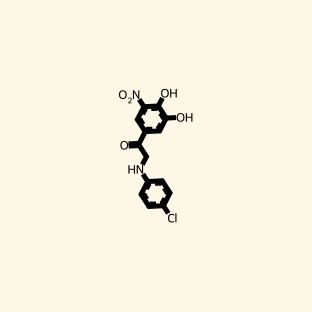 O=C(CNc1ccc(Cl)cc1)c1cc(O)c(O)c([N+](=O)[O-])c1